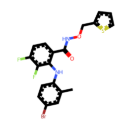 Cc1cc(Br)ccc1Nc1c(C(=O)NOCc2cccs2)ccc(F)c1F